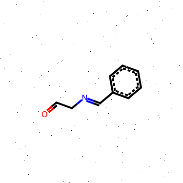 O=CCN=Cc1ccccc1